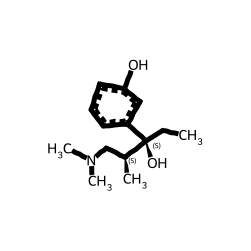 CC[C@@](O)(c1cccc(O)c1)[C@@H](C)CN(C)C